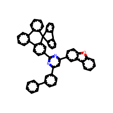 c1ccc(-c2cccc(-c3cc(-c4ccc5oc6ccccc6c5c4)nc(-c4ccc5c(c4)C4(c6ccccc6-c6ccccc6-5)c5ccccc5-c5ccccc54)n3)c2)cc1